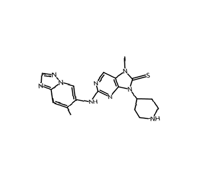 Cc1cc2ncnn2cc1Nc1ncc2c(n1)n(C1CCNCC1)c(=S)n2C